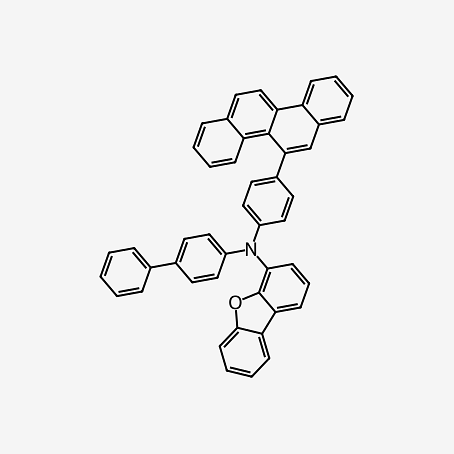 c1ccc(-c2ccc(N(c3ccc(-c4cc5ccccc5c5ccc6ccccc6c45)cc3)c3cccc4c3oc3ccccc34)cc2)cc1